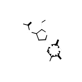 CC(=O)OC1C[C@@H](n2cc(F)c(=O)[nH]c2=O)O[C@H]1CO